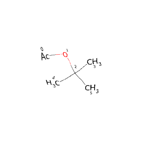 C[8C](=O)OC(C)(C)C